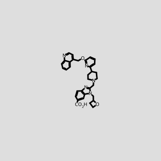 O=C(O)c1ccc2nc(CN3CCC(c4cccc(OCc5ccnc6ccccc56)n4)CC3)n(CC3CCO3)c2c1